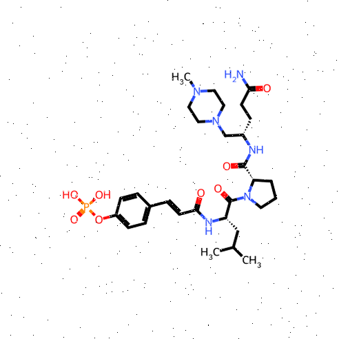 CC(C)C[C@H](NC(=O)/C=C/c1ccc(OP(=O)(O)O)cc1)C(=O)N1CCC[C@H]1C(=O)N[C@@H](CCC(N)=O)CN1CCN(C)CC1